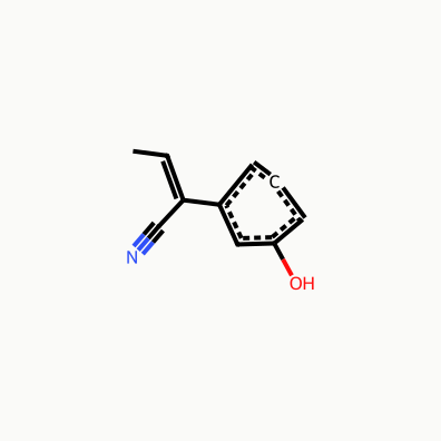 CC=C(C#N)c1cccc(O)c1